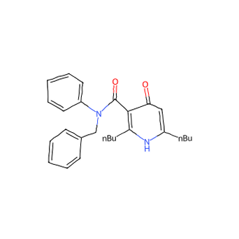 CCCCc1cc(=O)c(C(=O)N(Cc2ccccc2)c2ccccc2)c(CCCC)[nH]1